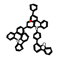 c1ccc(-c2cccc(-c3ccccc3N(c3ccc(-c4cccc5c4oc4ccccc45)cc3)c3cccc(-c4ccc(-c5ccccc5-n5c6ccccc6c6ccccc65)cc4)c3)c2)cc1